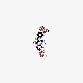 CCCCOC(=O)N1CCN(C(=O)[C@@H](N)Cc2ccc(P(=O)(OCC)OCC)cc2)CC1